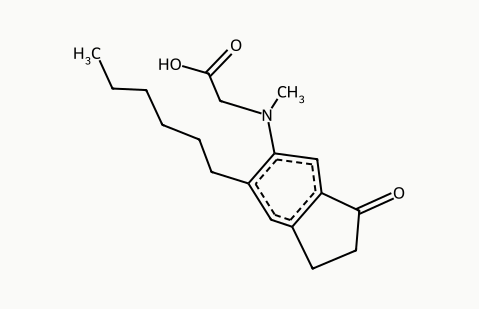 CCCCCCc1cc2c(cc1N(C)CC(=O)O)C(=O)CC2